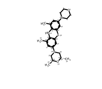 Cc1cc(N2CCOCC2)cc2c1Nc1c(C)cc(N3C[C@H](C)O[C@@H](C)C3)cc1S2